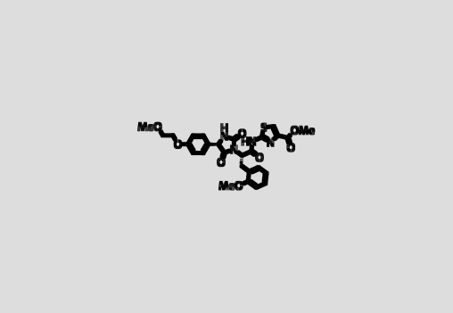 COCCOc1ccc([C@H]2NC(=O)N([C@@H](Cc3ccccc3OC)C(=O)Nc3nc(C(=O)OC)cs3)C2=O)cc1